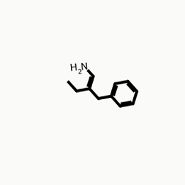 CCC(=CN)Cc1ccccc1